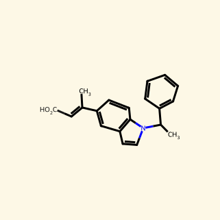 CC(=CC(=O)O)c1ccc2c(ccn2C(C)c2ccccc2)c1